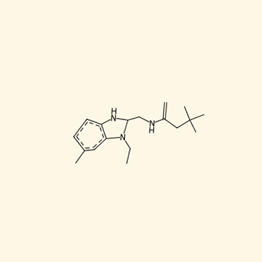 C=C(CC(C)(C)C)NCC1Nc2ccc(C)cc2N1CC